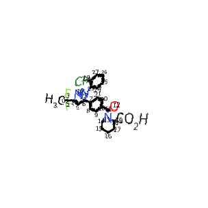 CC(F)(F)c1cc(-c2ccc(C(=O)N3CCCCC3C(=O)O)cc2)n(-c2ccccc2Cl)n1